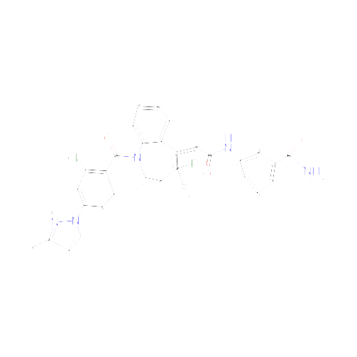 Cc1ccn(-c2ccc(C(=O)N3CCC(F)(F)C(=CC(=O)Nc4cccc(C(N)=O)c4)c4ccccc43)c(Cl)c2)n1